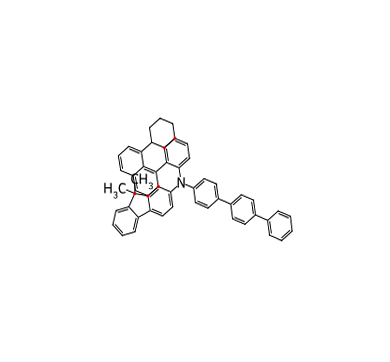 CC1(C)c2ccccc2-c2ccc(N(c3ccc(-c4ccc(-c5ccccc5)cc4)cc3)c3ccccc3C3=c4c(C5CCCCC5)cccc4=CCC3)cc21